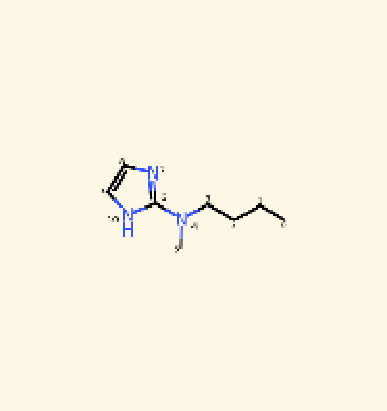 CCCCN(C)c1ncc[nH]1